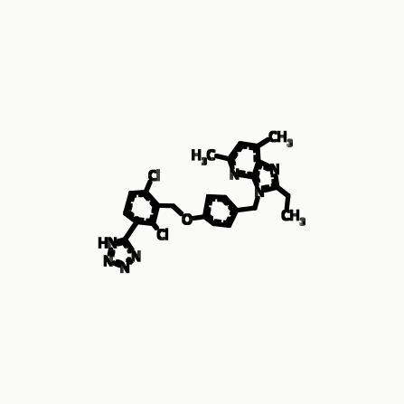 CCc1nc2c(C)cc(C)nc2n1Cc1ccc(OCc2c(Cl)ccc(-c3nnn[nH]3)c2Cl)cc1